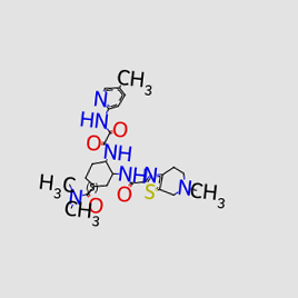 Cc1ccc(NC(=O)C(=O)NC2CC[C@H](C(=O)N(C)C)CC2NC(=O)c2nc3c(s2)CN(C)CC3)nc1